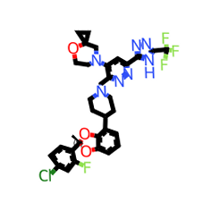 C[C@]1(c2ccc(Cl)cc2F)Oc2cccc(C3CCN(Cc4nnc(-c5nnc(C(F)(F)F)[nH]5)cc4N4CCOC5(CC5)C4)CC3)c2O1